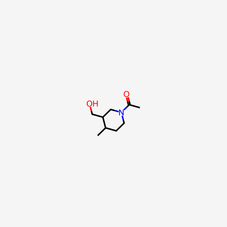 CC(=O)N1CCC(C)C(CO)C1